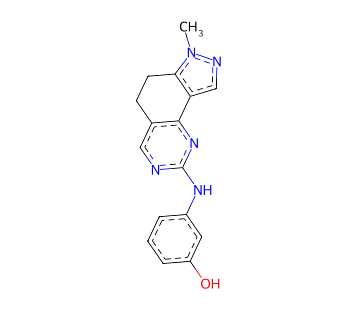 Cn1ncc2c1CCc1cnc(Nc3cccc(O)c3)nc1-2